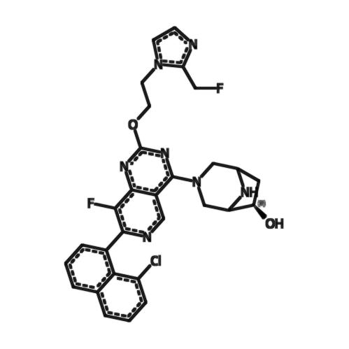 O[C@@H]1CC2CN(c3nc(OCCn4ccnc4CF)nc4c(F)c(-c5cccc6cccc(Cl)c56)ncc34)CC1N2